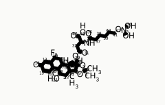 CC1(C)O[C@@H]2CC3[C@@H]4CC(F)C5=CC(=O)C=C[C@]5(C)C4[C@@H](O)C[C@]3(C)[C@]2(C(=O)COC(=O)CC(NC(=O)CCCCCON(O)O)C(=O)O)O1